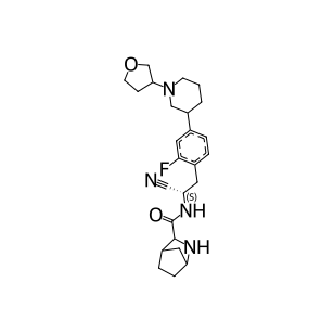 N#C[C@H](Cc1ccc(C2CCCN(C3CCOC3)C2)cc1F)NC(=O)C1NC2CCC1C2